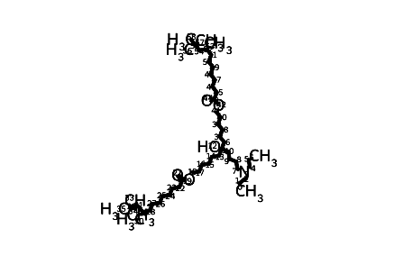 CCCN(CCC)CCCCC(O)(CCCCCCOC(=O)CCCCCCCC(C)CC(C)(C)C)CCCCCCOC(=O)CCCCCCCC(C)CC(C)(C)C